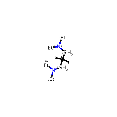 CCN(CC)[SiH2]C(C)(C)[SiH2]N(CC)CC